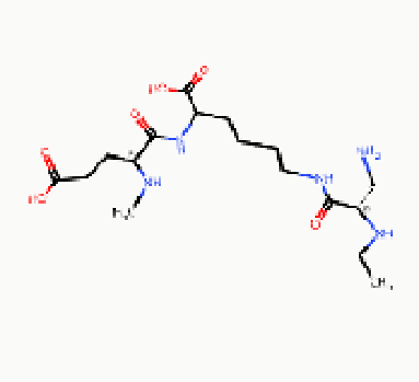 CCN[C@@H](CN)C(=O)NCCCCC(NC(=O)[C@H](CCC(=O)O)NC)C(=O)O